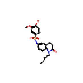 CCCCN1C(=O)CCc2cc(NS(=O)(=O)c3ccc(OC)c(OC)c3)ccc21